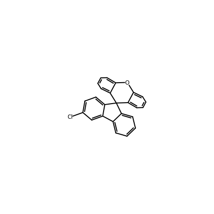 Clc1ccc2c(c1)-c1ccccc1C21c2ccccc2Oc2ccccc21